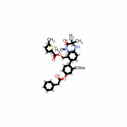 COc1cc(OC(=O)Cc2ccccc2)ccc1-c1ccc2c(c1COC(=O)c1ccc(C)s1)N(C)C(=O)C(C)(C)N2